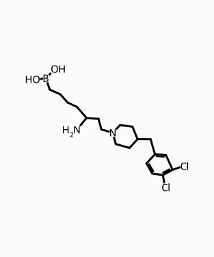 NC(CCCCB(O)O)CCN1CCC(Cc2ccc(Cl)c(Cl)c2)CC1